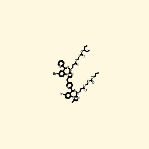 CCCOC(=O)OCOC(=O)CC[C@@H]1N=C(c2ccc(Cc3cnc4n3-c3ccc(Br)cc3C(c3ccccn3)=N[C@H]4CCC(=O)OCOC(=O)OC(CC)CC)cn2)c2cc(Br)ccc2-n2c(C)cnc21